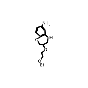 CCOCCOC1CNc2cc(N)ccc2OC1